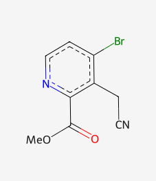 COC(=O)c1nccc(Br)c1CC#N